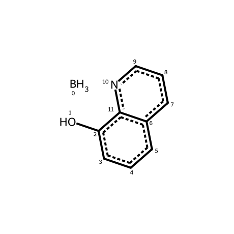 B.Oc1cccc2cccnc12